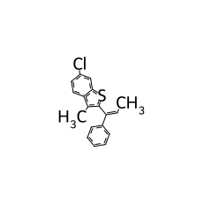 C/C=C(/c1ccccc1)c1sc2cc(Cl)ccc2c1C